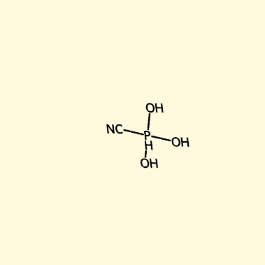 N#C[PH](O)(O)O